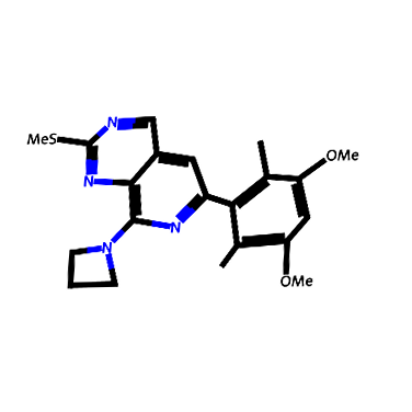 COc1cc(OC)c(C)c(-c2cc3cnc(SC)nc3c(N3CCC3)n2)c1C